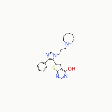 Oc1ncnc2sc(-c3c(-c4ccccc4)ncn3CCCN3CCCCCC3)cc12